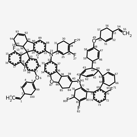 C=CC1C=CC(Oc2ccc(C3(c4c(F)cccc4F)c4cc(N(C5=CC(F)=C(F)CC5)c5ccc6c(c5)C5C=C(N7C8=CC(C9C=CC(OC%10C=CC(C=C)CC%10)=CC9)C(C=C8)C8=C(CCC=C8)c8c(F)cccc8C8=C7CC(F)C(F)=C8)CCC5O6)ccc4C4C=CCCC43)cc2)=CC1